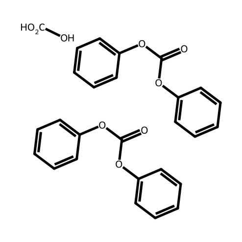 O=C(O)O.O=C(Oc1ccccc1)Oc1ccccc1.O=C(Oc1ccccc1)Oc1ccccc1